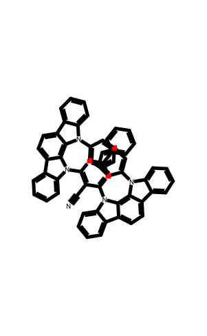 N#Cc1c(-n2c3ccccc3c3ccc4c5ccccc5n(-c5ccccc5)c4c32)nc(-c2ccccc2)nc1-n1c2ccccc2c2ccc3c4ccccc4n(-c4ccccc4)c3c21